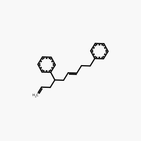 C=CCC(CC=CCCc1ccccc1)c1ccccc1